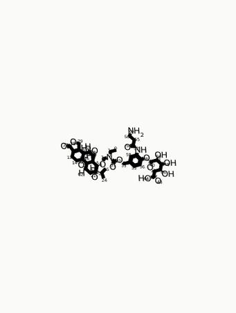 CCN(CO[C@H]1C2[C@H]3O[C@H]3[C@H]3C4=C(CC[C@]3(C)[C@@]23O[C@H]3[C@@H]2O[C@]12C(C)C)C(=O)OC4)C(=O)OCc1ccc(O[C@@H]2OC(C(=O)O)[C@@H](O)C(O)[C@@H]2O)c(NC(=O)CCN)c1